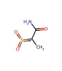 CC(C(N)=O)=S(=O)=O